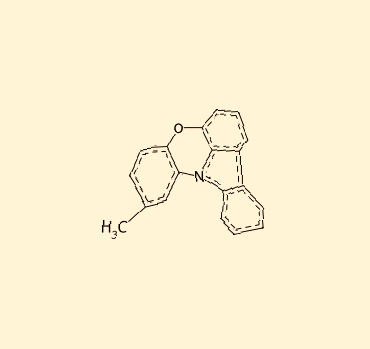 Cc1ccc2c(c1)-n1c3ccccc3c3cccc(c31)O2